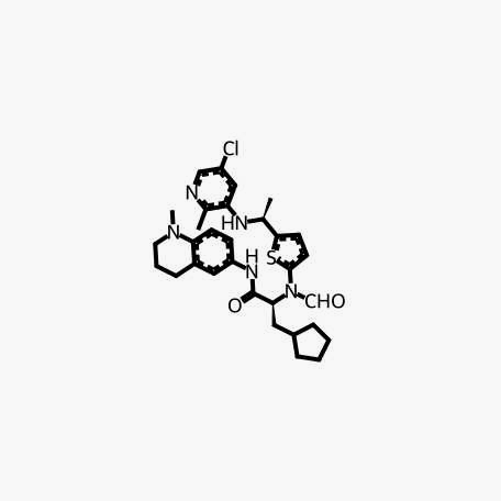 Cc1ncc(Cl)cc1N[C@@H](C)c1ccc(N(C=O)[C@@H](CC2CCCC2)C(=O)Nc2ccc3c(c2)CCCN3C)s1